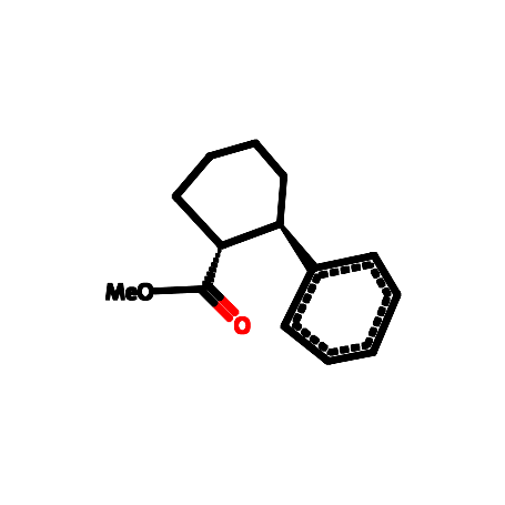 COC(=O)[C@@H]1CCCC[C@H]1c1ccccc1